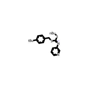 CCCCS/C(=N/c1cccnc1)SCc1ccc(C(C)(C)C)cc1